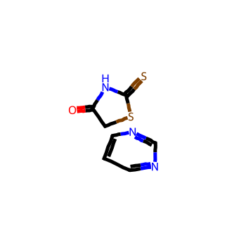 O=C1CSC(=S)N1.c1cncnc1